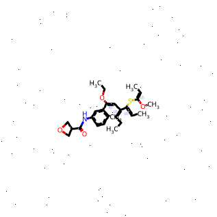 C/C=C(/OC)SC(=C\C)/C(=C\CC)/C=C(/OCC)c1cc(NC(=O)C2COC2)ccc1C